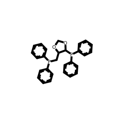 c1ccc(P(CC2OCOC2P(c2ccccc2)c2ccccc2)c2ccccc2)cc1